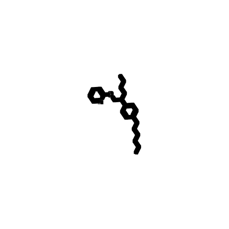 CCCCCCc1ccc(C(CCCC)COc2ccccn2)cc1